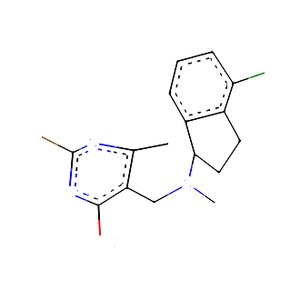 CN1Cc2c(O)nc(S)nc2C[C@]12CCc1c(Cl)cccc12